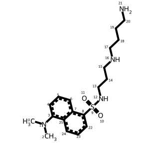 CN(C)c1cccc2c(S(=O)(=O)NCCCNCCCCN)cccc12